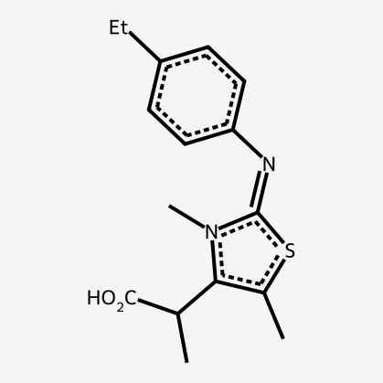 CCc1ccc(/N=c2/sc(C)c(C(C)C(=O)O)n2C)cc1